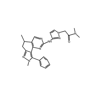 CC1Cc2nn(C)c(-c3ccccc3)c2-c2nc(Nc3ccn(CC(=O)N(C)C)n3)ncc21